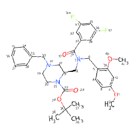 COc1ccc(CN(C[C@@H]2CN(Cc3ccccc3)CCN2C(=O)OC(C)(C)C)C(=O)c2cc(F)cc(F)c2)c(OC)c1